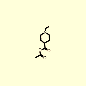 CCN1CCC(C(=O)OC(C)=O)CC1